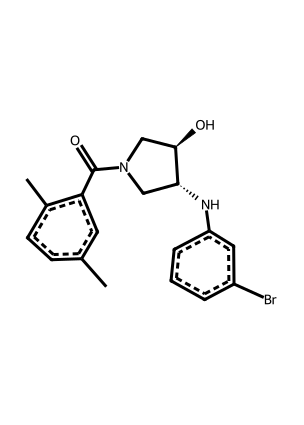 Cc1ccc(C)c(C(=O)N2C[C@@H](O)[C@H](Nc3cccc(Br)c3)C2)c1